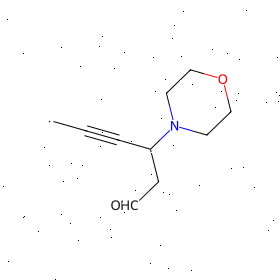 [CH2]C#CC(CC=O)N1CCOCC1